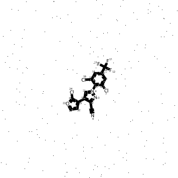 N#Cc1nn(-c2c(Cl)cc(C(F)(F)F)cc2Cl)cc1-c1ccoc1Cl